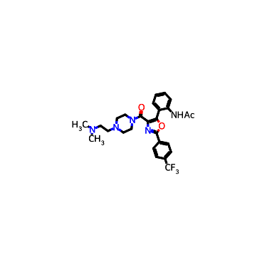 CC(=O)Nc1ccccc1-c1oc(-c2ccc(C(F)(F)F)cc2)nc1C(=O)N1CCN(CCN(C)C)CC1